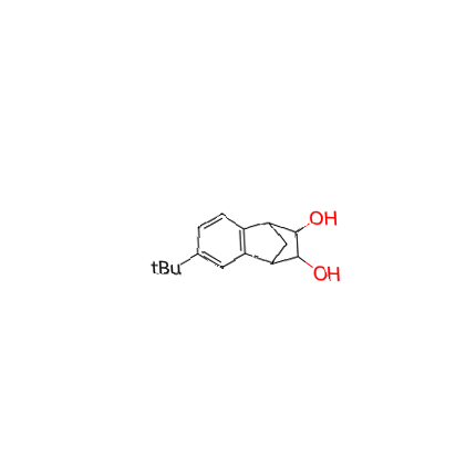 CC(C)(C)c1ccc2c(c1)C1CC2C(O)C1O